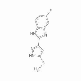 CSc1cc(-c2nc3cc(F)ccc3[nH]2)n[nH]1